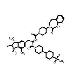 Cc1cc(C[C@@H](OC(=O)N2CCC(N3CCc4ccccc4NC3=O)CC2)C(=O)N2CCC(C3CCN(S(N)(=O)=O)CC3)CC2)cc2c1n(C)c(=O)n2C